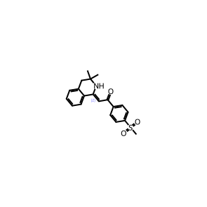 CC1(C)Cc2ccccc2/C(=C/C(=O)c2ccc(S(C)(=O)=O)cc2)N1